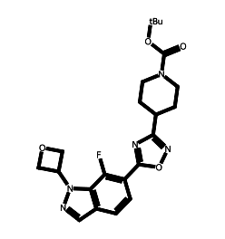 CC(C)(C)OC(=O)N1CCC(c2noc(-c3ccc4cnn(C5COC5)c4c3F)n2)CC1